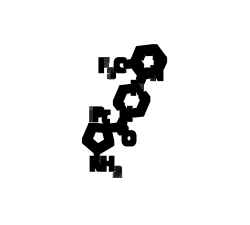 CC(C)[C@]1(C(=O)N2CCN(c3ncccc3C(F)(F)F)CC2)CC[C@@H](N)C1